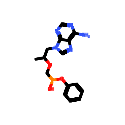 CC(Cn1cnc2c(N)ncnc21)OCP(O)Oc1ccccc1